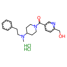 CN(CCc1ccccc1)C1CCN(C(=O)c2ccc(CO)nc2)CC1.Cl.Cl